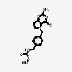 CC(C)(C)OC(=O)NCc1ccc(Cn2ccc3nc(N)nc(Cl)c32)cc1